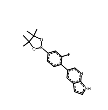 CC1(C)OB(c2ccc(-c3cnc4[nH]ccc4c3)c(F)c2)OC1(C)C